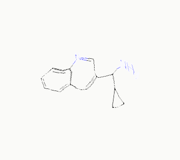 NC(c1cnc2ccccc2c1)C1CC1